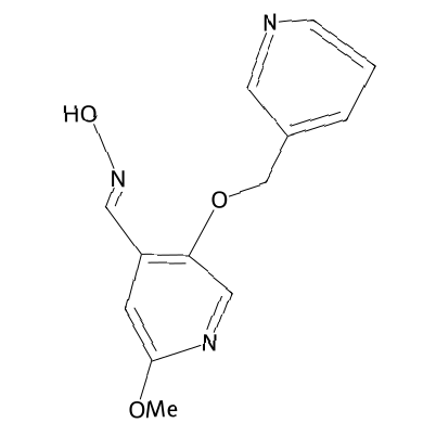 COc1cc(C=NO)c(OCc2cccnc2)cn1